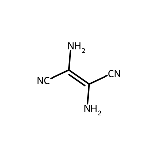 N#CC(N)=C(N)C#N